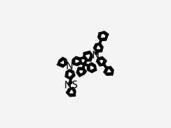 c1ccc(-c2ccc(N(c3ccc(-c4ccccc4)cc3)c3ccc4c(c3)C(c3ccccc3)(c3ccccc3)c3cc(N(c5ccccc5)c5ccc(-c6nc7ccccc7s6)cc5)ccc3-4)cc2)cc1